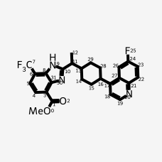 COC(=O)c1ccc(C(F)(F)F)c2[nH]c(C(C)C3CCC(c4ccnc5ccc(F)cc45)CC3)nc12